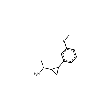 COc1cccc(C2CC2C(C)N)c1